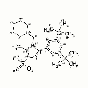 Cc1c(S(=O)(=O)Cl)cc(-c2cc(C(C)(C)C)cc(C(C)(C)C)c2)n1CC1CCCCC1